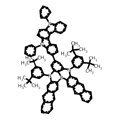 CC(C)(C)c1cc(N2c3cc4cc5ccccc5cc4cc3B3c4cc5cc6ccccc6cc5cc4N(c4cc(C(C)(C)C)cc(C(C)(C)C)c4)c4cc(-c5ccc6c7c8c9ccccc9n(-c9ccccc9)c8ccc7n(-c7ccccc7)c6c5)cc2c43)cc(C(C)(C)C)c1